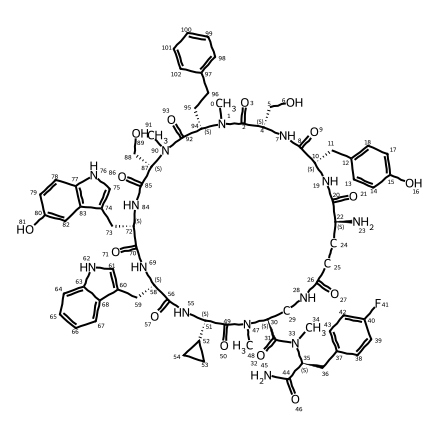 CN1C(=O)[C@H](CO)NC(=O)[C@H](Cc2ccc(O)cc2)NC(=O)[C@@H](N)CCC(=O)NC[C@@H](C(=O)N(C)[C@@H](Cc2ccc(F)cc2)C(N)=O)N(C)C(=O)[C@H](C2CC2)NC(=O)[C@H](Cc2c[nH]c3ccccc23)NC(=O)[C@H](Cc2c[nH]c3ccc(O)cc23)NC(=O)[C@H](CO)N(C)C(=O)[C@@H]1CCc1ccccc1